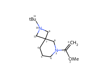 C=C(OC)N1CCCC2(C1)CN(C(C)(C)C)C2